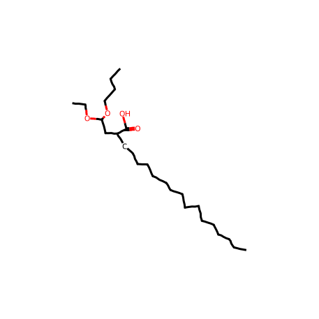 CCCCCCCCCCCCCCCCC(CC(OCC)OCCCC)C(=O)O